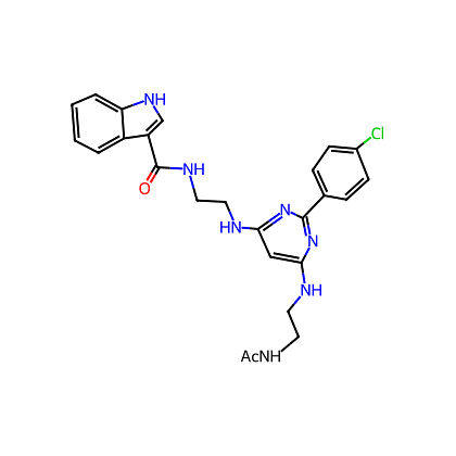 CC(=O)NCCNc1cc(NCCNC(=O)c2c[nH]c3ccccc23)nc(-c2ccc(Cl)cc2)n1